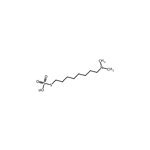 CN(C)CCCCCCCCSS(=O)(=O)O